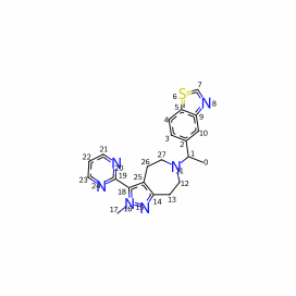 CC(c1ccc2scnc2c1)N1CCc2nn(C)c(-c3ncccn3)c2CC1